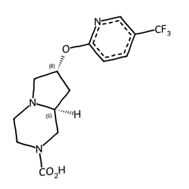 O=C(O)N1CCN2C[C@H](Oc3ccc(C(F)(F)F)cn3)C[C@H]2C1